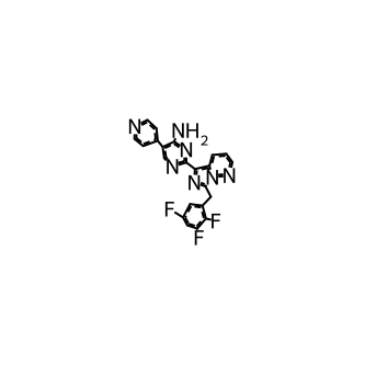 Nc1nc(-c2nc(Cc3cc(F)cc(F)c3F)n3ncccc23)ncc1-c1ccncc1